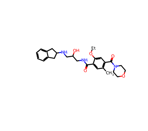 CCOc1cc(C(=O)N2CCOCC2)c(C)cc1C(=O)NCC(O)CNC1Cc2ccccc2C1